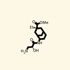 CC[C@@]1(C(=O)OC)CC2CCC(NC(=O)[C@H](O)CN)C(C2)C1